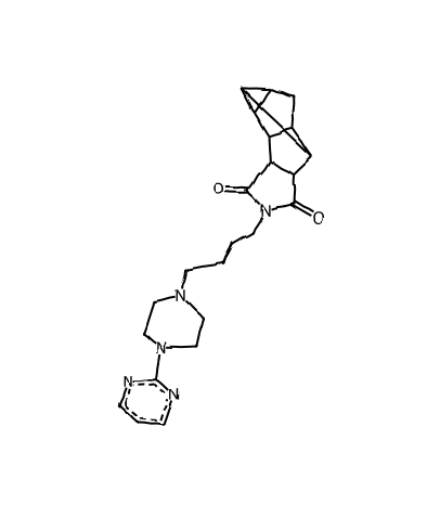 O=C1C2C(C(=O)N1CCCCN1CCN(c3ncccn3)CC1)C1C3CC4C(C32)C41